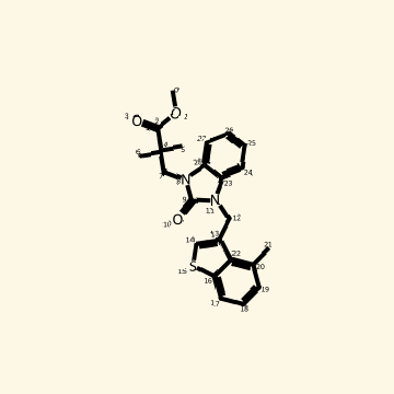 COC(=O)C(C)(C)Cn1c(=O)n(Cc2csc3cccc(C)c23)c2ccccc21